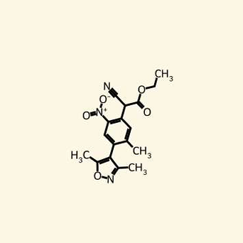 CCOC(=O)C(C#N)c1cc(C)c(-c2c(C)noc2C)cc1[N+](=O)[O-]